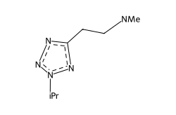 CNCCc1nnn(C(C)C)n1